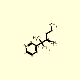 C=C(CCC)C(C)(C)c1cccnc1